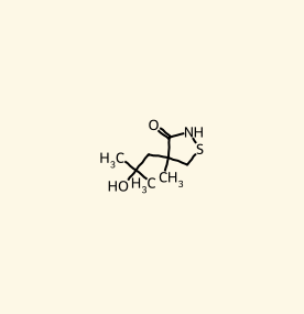 CC(C)(O)CC1(C)CSNC1=O